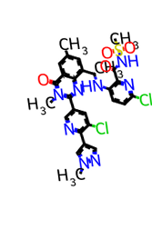 Cc1cc([C@@H](C)Nc2ccc(Cl)nc2C(=O)NS(C)(=O)=O)c2nc(-c3cnc(-c4cnn(C)c4)c(Cl)c3)n(C)c(=O)c2c1